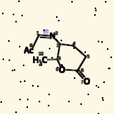 CC(=O)/C=N\C1CCC(=O)OC1C